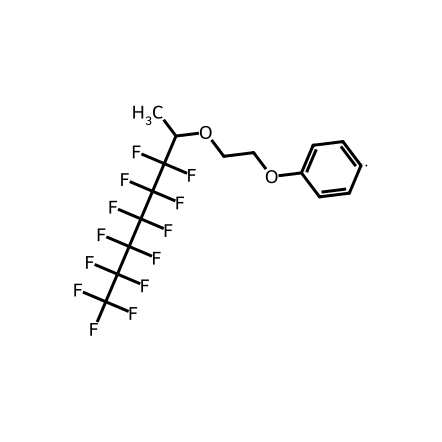 CC(OCCOc1cc[c]cc1)C(F)(F)C(F)(F)C(F)(F)C(F)(F)C(F)(F)C(F)(F)F